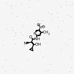 Cc1cc(NC(=O)C(C#N)=C(O)C2CC2)ncc1[N+](=O)[O-]